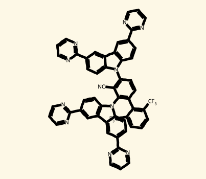 N#Cc1c(-n2c3ccc(-c4ncccn4)cc3c3cc(-c4ncccn4)ccc32)ccc(-c2c(C(F)(F)F)cccc2C(F)(F)F)c1-n1c2ccc(-c3ncccn3)cc2c2cc(-c3ncccn3)ccc21